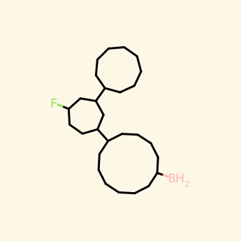 BC1CCCCCCC(C2CCC(F)CC(C3CCCCCCCC3)C2)CCCC1